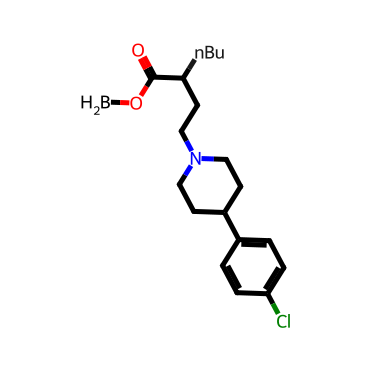 BOC(=O)C(CCCC)CCN1CCC(c2ccc(Cl)cc2)CC1